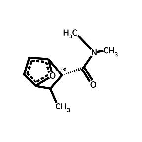 CC1c2ccc(o2)[C@@H]1C(=O)N(C)C